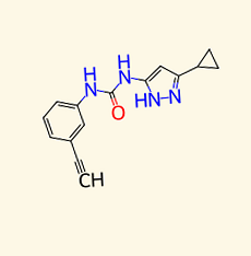 C#Cc1cccc(NC(=O)Nc2cc(C3CC3)n[nH]2)c1